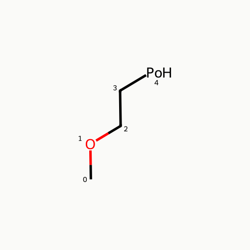 COC[CH2][PoH]